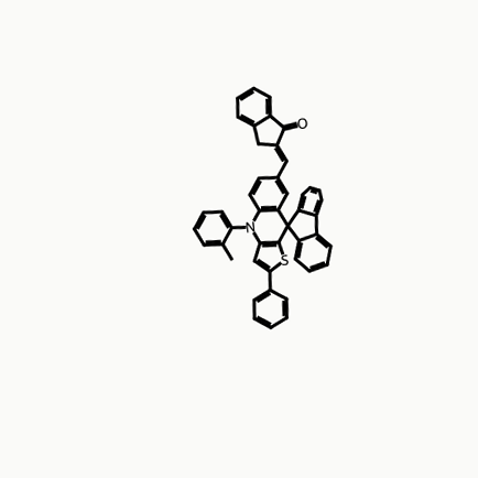 Cc1ccccc1N1c2ccc(/C=C3\Cc4ccccc4C3=O)cc2C2(c3ccccc3-c3ccccc32)c2sc(-c3ccccc3)cc21